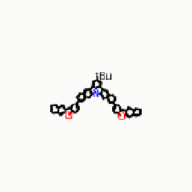 CC(C)(C)c1cc2c3cc4c(cc3n3c5cc6cc(-c7ccc8oc9cc%10ccccc%10cc9c8c7)ccc6cc5c(c1)c23)C=C(c1ccc2oc3cc5ccccc5cc3c2c1)CC4